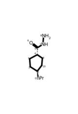 CCC[C@H]1CC[C@H](C(=O)NN)CC1